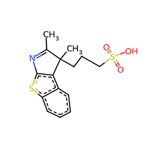 CC1=Nc2sc3ccccc3c2C1(C)CCCS(=O)(=O)O